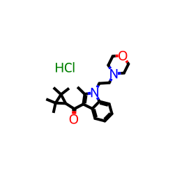 Cc1c(C(=O)C2C(C)(C)C2(C)C)c2ccccc2n1CCN1CCOCC1.Cl